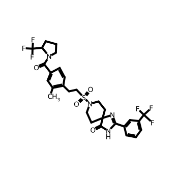 Cc1cc(C(=O)N2CCCC2C(F)(F)F)ccc1CCS(=O)(=O)N1CCC2(CC1)N=C(c1cccc(C(F)(F)F)c1)NC2=O